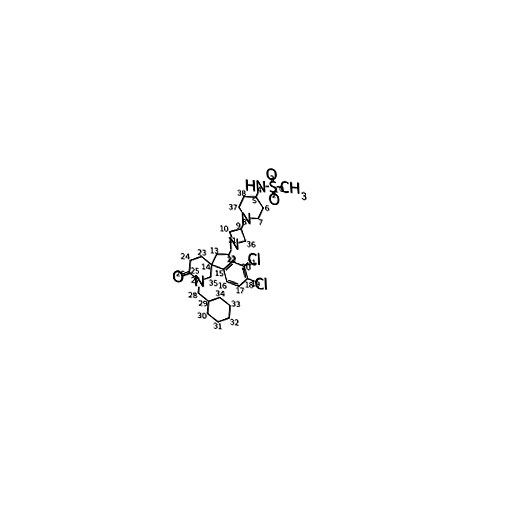 CS(=O)(=O)NC1CCN(C2CN(CCC3(c4ccc(Cl)c(Cl)c4)CCC(=O)N(CC4CCCCC4)C3)C2)CC1